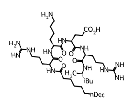 CCCCCCCCCCCCCCCC(=O)N[C@@H](CCCNC(=N)N)C(=O)N[C@@H](CCCCN)C(=O)N[C@@H](CCC(=O)O)C(=O)N[C@@H](CCCNC(=N)N)C(=O)N[C@H](C)[C@@H](C)CC